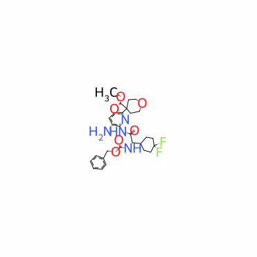 COC(=O)C1(c2ccc(N)c(NC(=O)C(NC(=O)OCc3ccccc3)C3CCC(F)(F)CC3)n2)CCOCC1